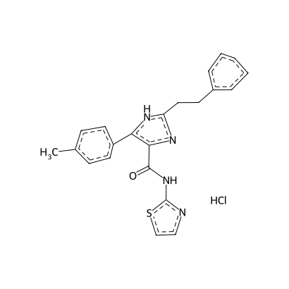 Cc1ccc(-c2[nH]c(CCc3ccccc3)nc2C(=O)Nc2nccs2)cc1.Cl